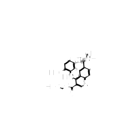 CCOC(=O)c1cnc2ccc(C(=O)NC)cc2c1Nc1cc(C)ccc1C